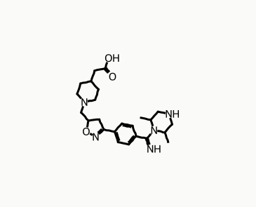 CC1CNCC(C)N1C(=N)c1ccc(C2=NOC(CN3CCC(CC(=O)O)CC3)C2)cc1